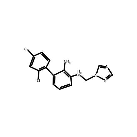 Cc1c([SiH2]Cn2cncn2)cccc1-c1ccc(Cl)cc1Cl